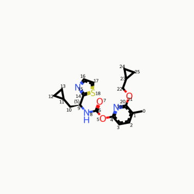 Cc1ccc(OC(=O)N[C@@H](CC2CC2)c2nccs2)nc1OCC1CC1